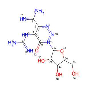 N=C(N)Nc1c(C(=N)N)nnn(C2OC(CO)C(O)C2O)c1=O